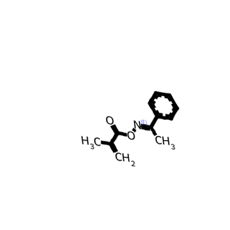 C=C(C)C(=O)O/N=C(\C)c1ccccc1